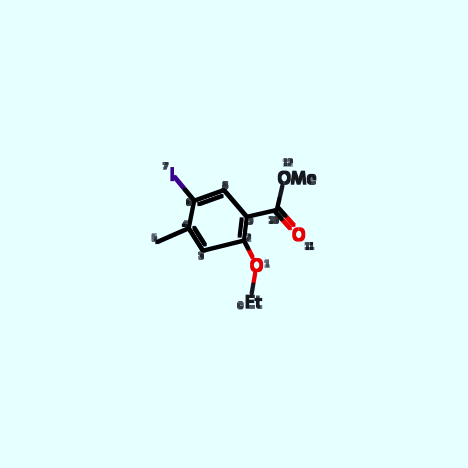 CCOc1cc(C)c(I)cc1C(=O)OC